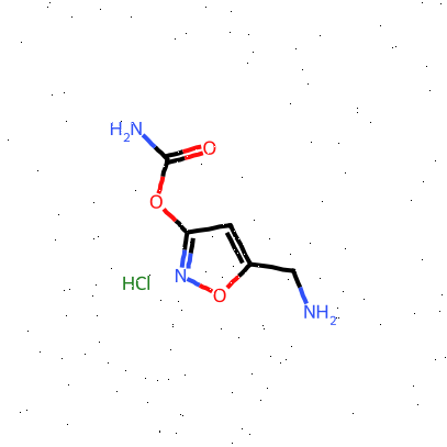 Cl.NCc1cc(OC(N)=O)no1